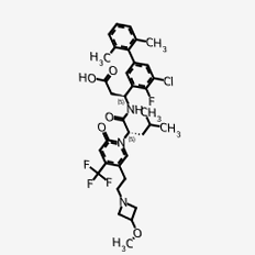 COC1CN(CCc2cn([C@@H](CC(C)C)C(=O)N[C@@H](CC(=O)O)c3cc(-c4c(C)cccc4C)cc(Cl)c3F)c(=O)cc2C(F)(F)F)C1